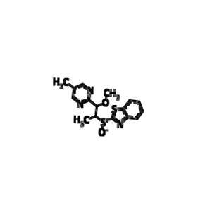 COC(c1ncc(C)cn1)C(C)[S+]([O-])c1nc2ccccc2s1